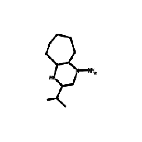 CC(C)C1BC2CCCCCC2N(N)C1